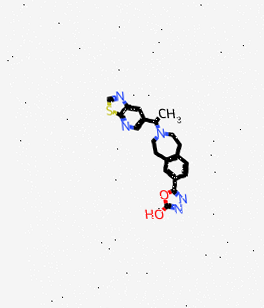 CC(c1cnc2scnc2c1)N1CCc2ccc(-c3nnc(O)o3)cc2CC1